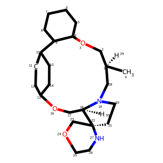 C[C@@H]1COC2CCCCC2C2CCC(CC2)OC[C@H]2N(CC[C@]23COCCN3)C1